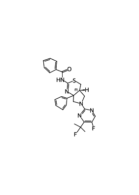 CC(C)(F)c1nc(N2C[C@H]3CSC(NC(=O)c4ccccc4)=NC3(c3ccccc3)C2)ncc1F